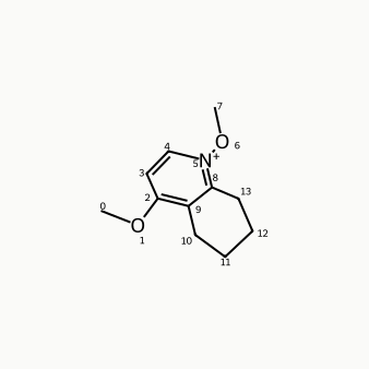 COc1cc[n+](OC)c2c1CCCC2